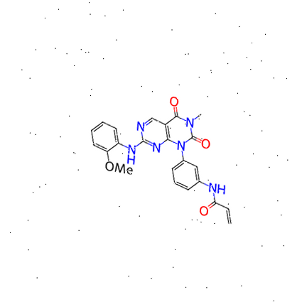 C=CC(=O)Nc1cccc(-n2c(=O)n(C)c(=O)c3cnc(Nc4ccccc4OC)nc32)c1